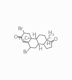 C[C@]12CC(Br)C(=O)C=C1C(Br)C[C@@H]1[C@H]2CC[C@]2(C)C(=O)CC[C@@H]12